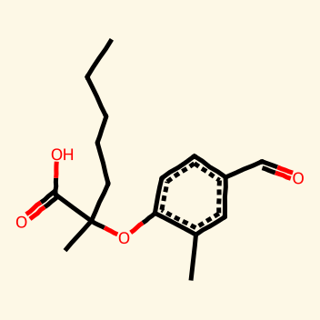 CCCCCC(C)(Oc1ccc(C=O)cc1C)C(=O)O